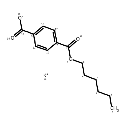 CCCCCCOC(=O)c1ccc(C(=O)[O-])cc1.[K+]